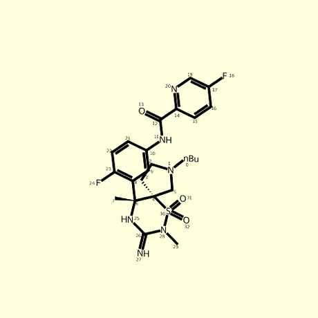 CCCCN1CC[C@@]2(C1)[C@@](C)(c1cc(NC(=O)c3ccc(F)cn3)ccc1F)NC(=N)N(C)S2(=O)=O